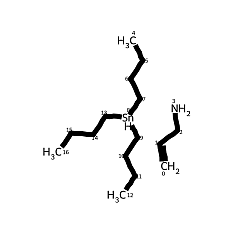 C=CCN.CCC[CH2][SnH]([CH2]CCC)[CH2]CCC